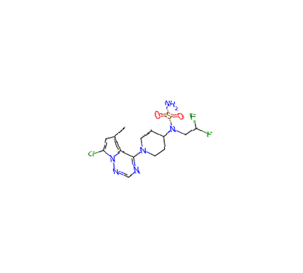 Cc1cc(Cl)n2ncnc(N3CCC(N(CC(F)F)S(N)(=O)=O)CC3)c12